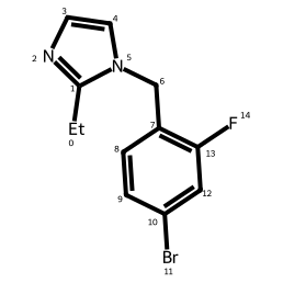 CCc1nccn1Cc1ccc(Br)cc1F